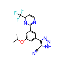 CC(C)Oc1cc(-c2nccc(C(F)(F)F)n2)cc(-c2nn[nH]c2C#N)c1